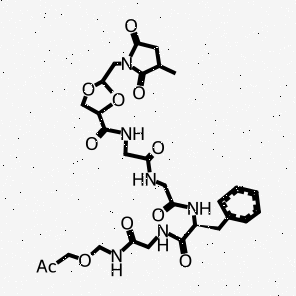 CC(=O)COCNC(=O)CNC(=O)[C@H](Cc1ccccc1)NC(=O)CNC(=O)CNC(=O)C1COC(CN2C(=O)CC(C)C2=O)O1